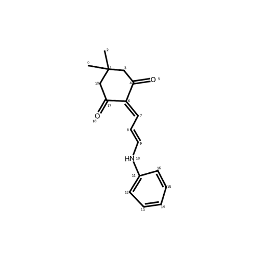 CC1(C)CC(=O)C(=C/C=C/Nc2ccccc2)C(=O)C1